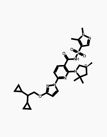 Cc1c(S(=O)(=O)NC(=O)c2ccc(-n3ccc(OCC(C4CC4)C4CC4)n3)nc2N2C[C@@H](C)CC2(C)C)cnn1C